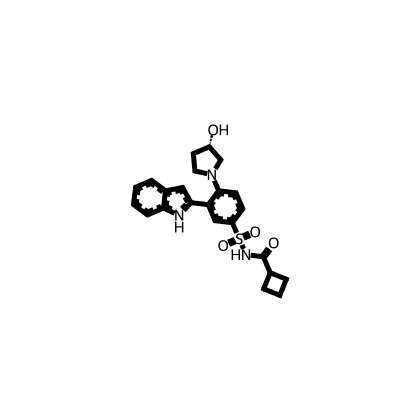 O=C(NS(=O)(=O)c1ccc(N2CC[C@H](O)C2)c(-c2cc3ccccc3[nH]2)c1)C1CCC1